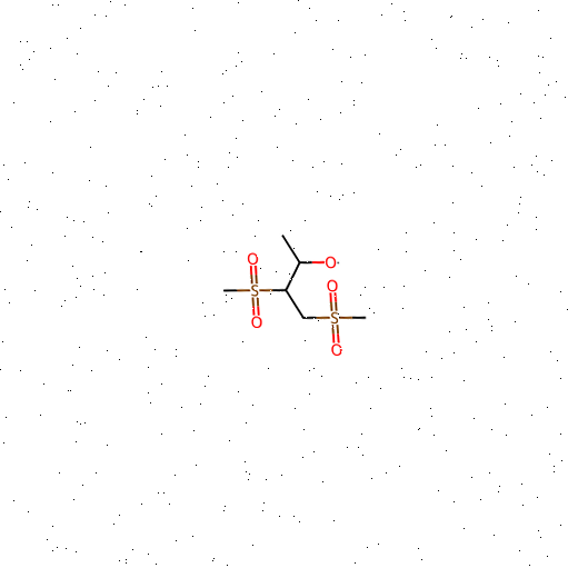 CC([O])C(CS(C)(=O)=O)S(C)(=O)=O